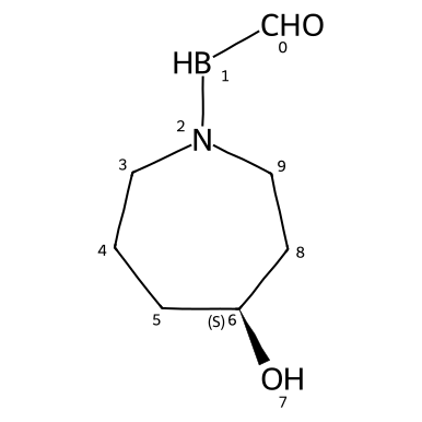 O=CBN1CCC[C@H](O)CC1